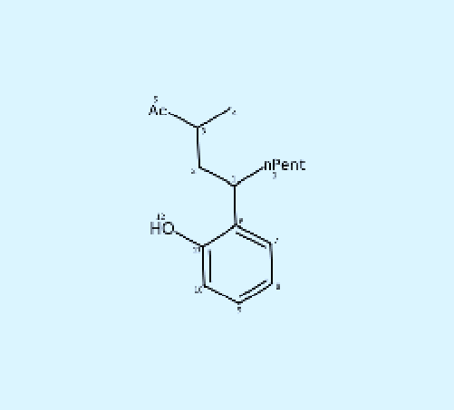 CCCCCC(CC(C)C(C)=O)c1ccccc1O